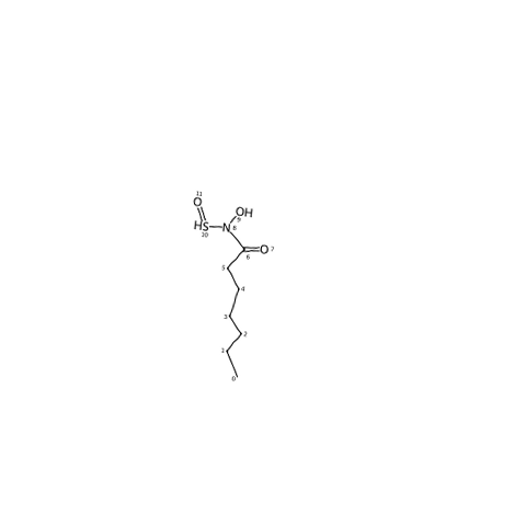 CCCCCCC(=O)N(O)[SH]=O